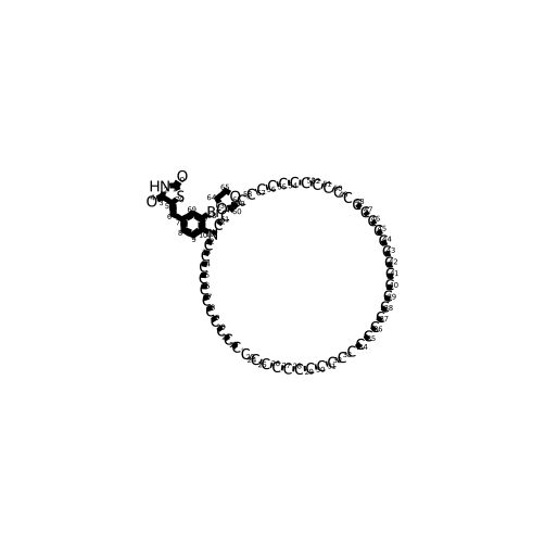 O=C1NC(=O)C(=Cc2ccc(N3CCCCCCCCCCCCCCCCCCCCCCCCCCCCCCCCCCCCCCCCCCCCCCCCC4(CC3)OCCO4)c(Br)c2)S1